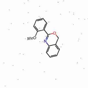 COc1ccccc1C1=Nc2ccccc2CO1